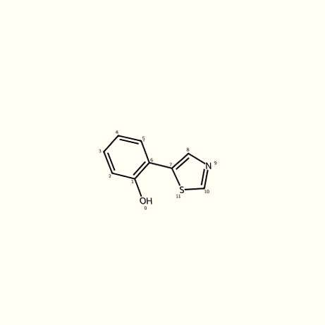 Oc1ccc[c]c1-c1cncs1